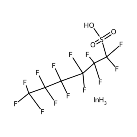 O=S(=O)(O)C(F)(F)C(F)(F)C(F)(F)C(F)(F)C(F)(F)C(F)(F)F.[InH3]